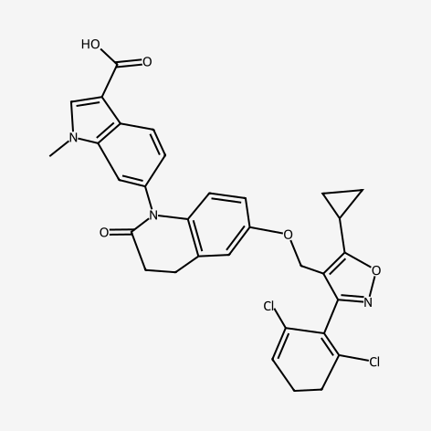 Cn1cc(C(=O)O)c2ccc(N3C(=O)CCc4cc(OCc5c(C6=C(Cl)CCC=C6Cl)noc5C5CC5)ccc43)cc21